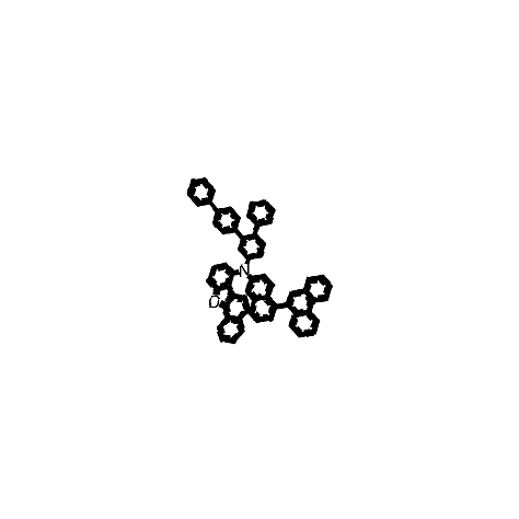 c1ccc(-c2ccc(-c3cc(N(c4ccc5c(-c6cc7ccccc7c7ccccc67)cccc5c4)c4cccc5oc6c7ccccc7ccc6c45)ccc3-c3ccccc3)cc2)cc1